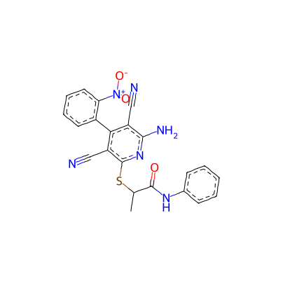 CC(Sc1nc(N)c(C#N)c(-c2ccccc2[N+](=O)[O-])c1C#N)C(=O)Nc1ccccc1